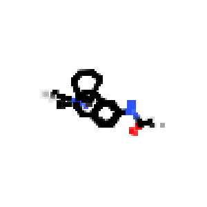 CC(=O)Nc1ccc2c(c1)[C@@]13CCCC[C@H]1[C@@H](C2)N(C)CC3